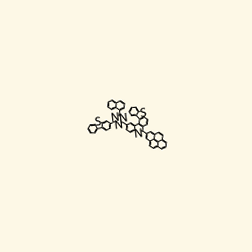 c1ccc2c(-c3nc(-c4ccc5c(c4)sc4ccccc45)nc(-c4ccc5nc(-c6cc7ccc8cccc9ccc(c6)c7c89)c6ccc7sc8ccccc8c7c6c5c4)n3)cccc2c1